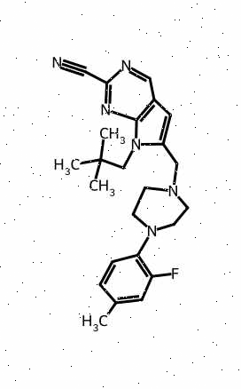 Cc1ccc(N2CCN(Cc3cc4cnc(C#N)nc4n3CC(C)(C)C)CC2)c(F)c1